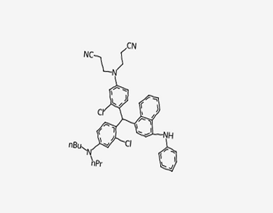 CCCCN(CCC)c1ccc(C(c2ccc(N(CCC#N)CCC#N)cc2Cl)c2ccc(Nc3ccccc3)c3ccccc23)c(Cl)c1